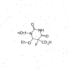 CCCCCCCCN1C(=O)NC(=O)C(F)(C(=O)O)C1OCC